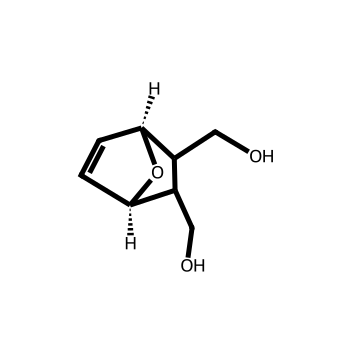 OCC1C(CO)[C@H]2C=C[C@@H]1O2